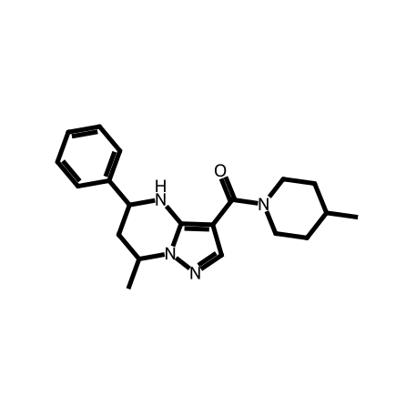 CC1CCN(C(=O)c2cnn3c2NC(c2ccccc2)CC3C)CC1